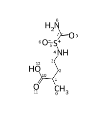 CC(CCN[S+]([O-])C(N)=O)C(=O)O